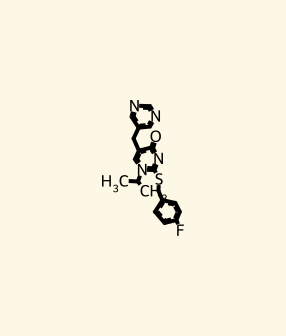 CC(C)n1cc(Cc2cncnc2)c(=O)nc1SCc1ccc(F)cc1